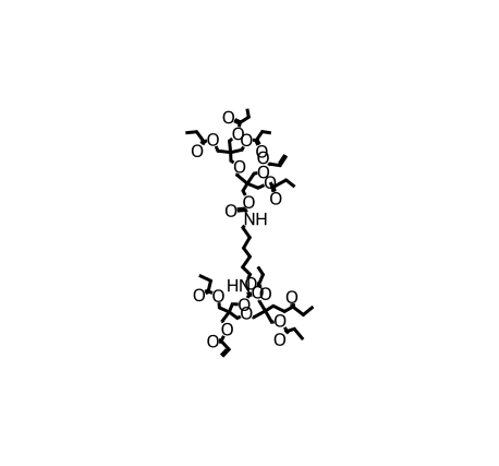 C=CC(=O)OCC(COCC(CCC(=O)CC)(COC(=O)CC)COC(=O)CC)(COC(=O)CC)COC(=O)NCCCCCCNC(=O)OCC(COCC(COC(=O)CC)(COC(=O)CC)COC(=O)CC)(COC(=O)C=C)COC(=O)CC